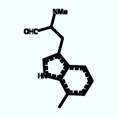 CNC(C=O)Cc1c[nH]c2c(C)cccc12